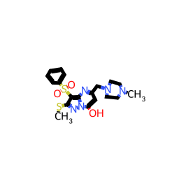 CSc1nn2c(O)cc(CN3CCN(C)CC3)nc2c1S(=O)(=O)c1ccccc1